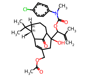 C=C(C)C(OC(=O)N(C)c1ccc(Cl)cc1)C1(O)CC(COC(C)=O)=CC2C(=O)C1CC[C@@H]1[C@H]2C1(C)C